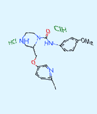 COc1ccc(NC(=O)N2CCNCC2COc2ccc(C)nc2)cc1.Cl.Cl